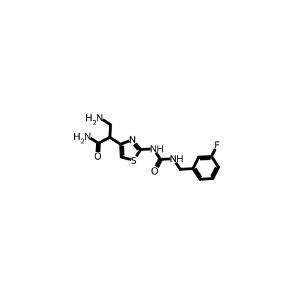 NCC(C(N)=O)c1csc(NC(=O)NCc2cccc(F)c2)n1